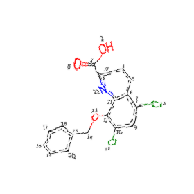 O=C(O)c1ccc2c(Cl)cc(Cl)c(OCc3ccccc3)c2n1